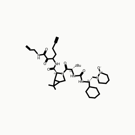 C#CCCC(NC(=O)[C@@H]1C2C(CN1C(=O)[C@@H](NC(=O)N[C@H](CN1CCCC[S+]1[O-])C1CCCCC1)C(C)(C)C)C2(C)C)C(=O)C(=O)NCC=C